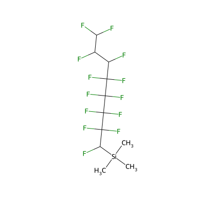 C[Si](C)(C)C(F)C(F)(F)C(F)(F)C(F)(F)C(F)(F)C(F)C(F)C(F)F